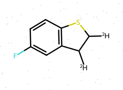 [2H]C1Sc2ccc(F)cc2C1[2H]